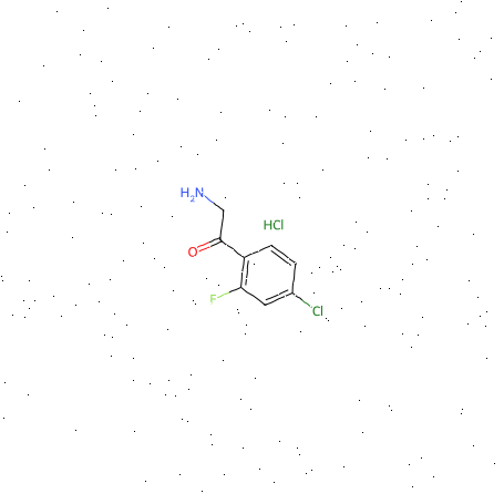 Cl.NCC(=O)c1ccc(Cl)cc1F